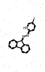 Ic1cc/c(=N/N=C2c3ccccc3-c3ccccc32)[nH]c1